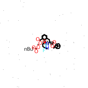 CCCCOC(=O)OCOC(=O)c1cccc(CC(NC(=O)CCC(C)(F)F)B2OC3CC4CC(C4(C)C)C3(C)O2)c1OC